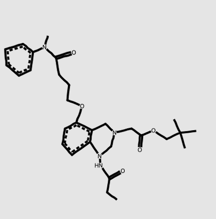 CCC(=O)NN1CN(CC(=O)OCC(C)(C)C)Cc2c(OCCCC(=O)N(C)c3ccccc3)cccc21